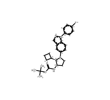 CC(C)(C)OC(=O)N[C@@H]1CCN(c2ccc3c(cnn3-c3ccc(F)cc3)c2)[C@@H]1C1CCC1